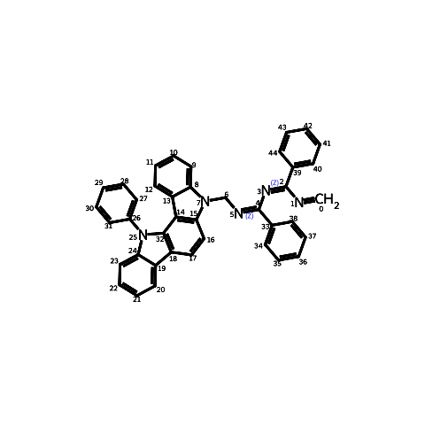 C=N/C(=N\C(=N/Cn1c2ccccc2c2c1ccc1c3ccccc3n(-c3ccccc3)c12)c1ccccc1)c1ccccc1